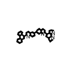 c1ccc2c(c1)cc(-c1ccc3cc(-c4ccc5ccc(-c6cc7cccnc7c7ncccc67)nc5c4)ccc3n1)c1ccccc12